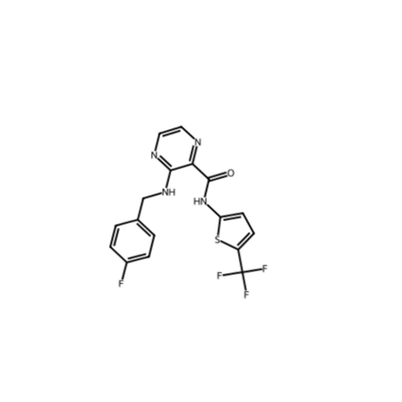 O=C(Nc1ccc(C(F)(F)F)s1)c1nccnc1NCc1ccc(F)cc1